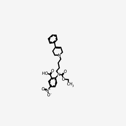 CCOC(=O)N(CCCCN1CC=C(c2ccccc2)CC1)c1ccc([N+](=O)[O-])cc1C(=O)O